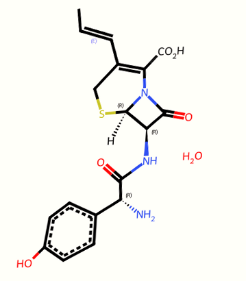 C/C=C/C1=C(C(=O)O)N2C(=O)[C@@H](NC(=O)[C@H](N)c3ccc(O)cc3)[C@H]2SC1.O